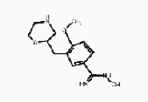 COc1ccc(C(=N)NO)cc1CC1CNCCO1